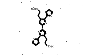 CCCCCCCCCCCCc1cc(-c2cc(CCCCCCCCCCCC)c(-c3cccs3)s2)sc1-c1cccs1